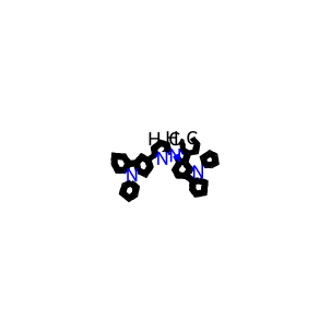 C=Cc1c(/C=C\C)c2c(ccc3c4ccccc4n(-c4ccccc4)c32)n1-c1cccc(-c2ccc3c(c2)c2ccccc2n3-c2ccccc2)n1